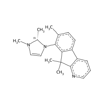 Cc1ccc2c(c1N1C=CN(C)[C@@H]1C)C(C)(C)c1ncccc1-2